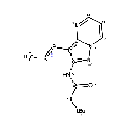 C/C=C/c1c(NC(=O)CC(C)(C)C)nn2cccnc12